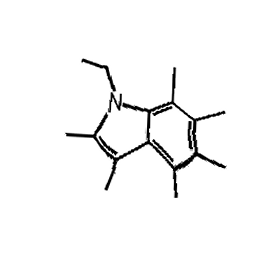 CCn1c(C)c(C)c2c(C)c(C)c(C)c(C)c21